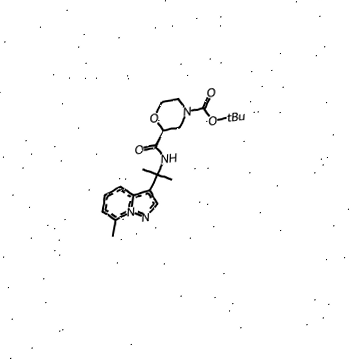 Cc1cccc2c(C(C)(C)NC(=O)[C@@H]3CN(C(=O)OC(C)(C)C)CCO3)cnn12